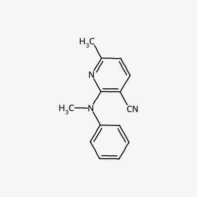 Cc1ccc(C#N)c(N(C)c2ccccc2)n1